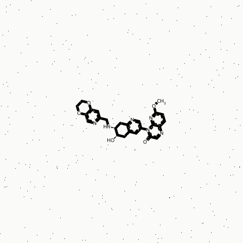 COc1ccc2ncc(=O)n(-c3cnc4c(c3)C[C@H](O)[C@H](NCc3cc5c(cn3)OCCO5)C4)c2n1